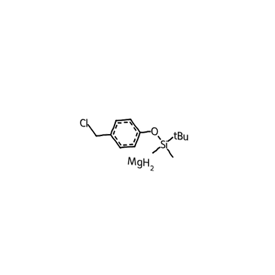 CC(C)(C)[Si](C)(C)Oc1ccc(CCl)cc1.[MgH2]